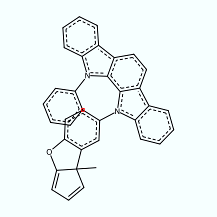 CC12C=CC=C1Oc1ccc(-n3c4ccccc4c4ccc5c6ccccc6n(-c6ccccc6)c5c43)cc12